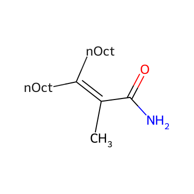 CCCCCCCCC(CCCCCCCC)=C(C)C(N)=O